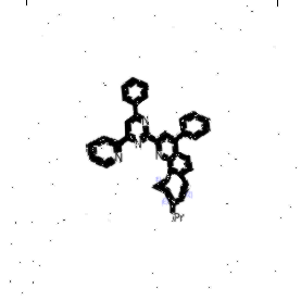 CC(C)C1=C\C=C\c2c(ccc3c(-c4ccccc4)cc(-c4nc(-c5ccccc5)cc(-c5ccccn5)n4)nc23)/C=C\1